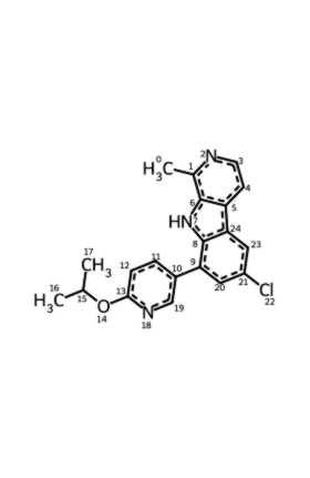 Cc1nccc2c1[nH]c1c(-c3ccc(OC(C)C)nc3)cc(Cl)cc12